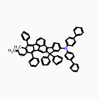 C=C/C=C\c1c(C)c(-c2ccccc2)c2c(c1-c1ccccc1)-c1cc3c(c4cccc-2c14)-c1ccc(N(c2ccc(-c4ccccc4)cc2)c2ccc(-c4ccccc4)cc2)cc1C3(c1ccccc1)c1ccccc1